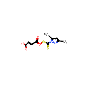 Cc1cc(C)n(C(=S)SOC(=O)/C=C/C(=O)O)n1